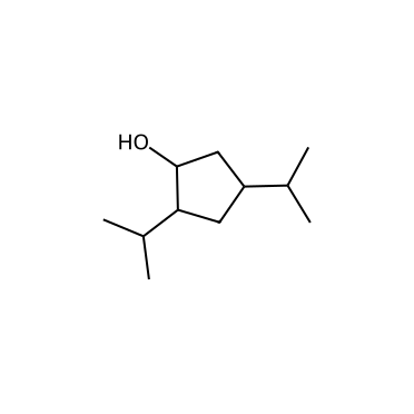 CC(C)C1CC(O)C(C(C)C)C1